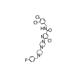 O=C(NCc1ccc(Cl)c(Cl)c1)c1cnc(N2CCN(C3CCN(Cc4ccc(F)cc4)CC3)CC2)c(Cl)c1